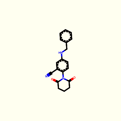 N#Cc1cc(NCc2ccccc2)ccc1N1C(=O)CCCC1=O